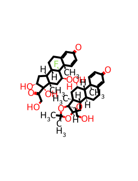 CC1(C)O[C@@H]2C[C@H]3[C@@H]4CCC5=CC(=O)C=C[C@]5(C)[C@H]4[C@@H](O)C[C@]3(C)[C@]2(C(=O)CO)O1.C[C@]12C=CC(=O)C=C1CC[C@H]1[C@@H]3C[C@@H](O)[C@](O)(C(=O)CO)[C@@]3(C)C[C@H](O)[C@@]12F